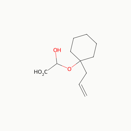 C=CCC1(OC(O)C(=O)O)CCCCC1